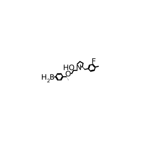 Bc1ccc([C@@H](C)OC[C@H](O)CN2CCC[C@H]2Cc2ccc(C)c(F)c2)cc1